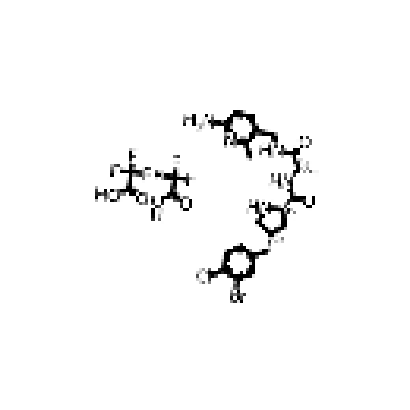 Cc1nc(N)ccc1CNC(=O)[C@H](C)NC(=O)[C@H]1C[C@H](Cc2ccc(Cl)c(Br)c2)CN1.O=C(O)C(F)(F)F.O=C(O)C(F)(F)F